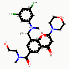 C[C@@H](c1cc(C(=O)N(C)CCO)cc2c(=O)cc(N3CCOCC3)oc12)N(C)c1cc(F)cc(F)c1